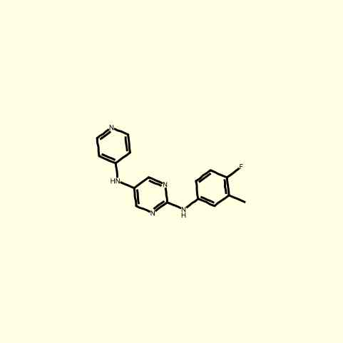 Cc1cc(Nc2ncc(Nc3ccncc3)cn2)ccc1F